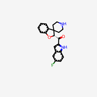 O=C(c1cc2cc(F)ccc2[nH]1)[C@@H]1Oc2ccccc2C12CCNCC2